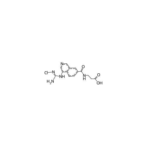 NC(=NCl)Nc1cncc2cc(C(=O)NCCC(=O)O)ccc12